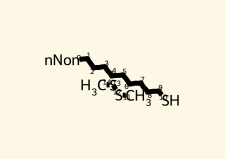 CCCCCCCCCCCCCCCCCCS.CSSC